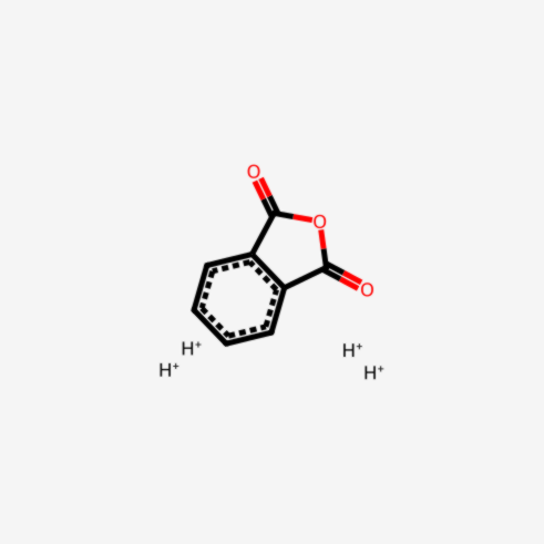 O=C1OC(=O)c2ccccc21.[H+].[H+].[H+].[H+]